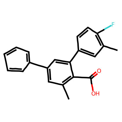 Cc1cc(-c2cc(-c3ccccc3)cc(C)c2C(=O)O)ccc1F